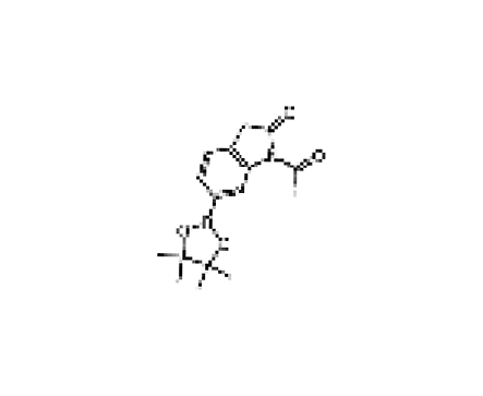 CC(=O)N1C(=O)Cc2ccc(B3OC(C)(C)C(C)(C)O3)cc21